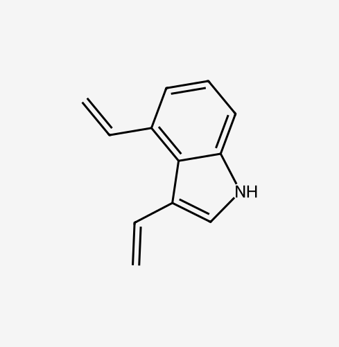 C=Cc1cccc2[nH]cc(C=C)c12